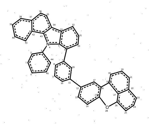 c1ccc(-n2c3c(-c4cccc(-c5ccc6c(c5)-c5cccc7cccc(c57)O6)c4)cccc3c3ccc4ccccc4c32)cc1